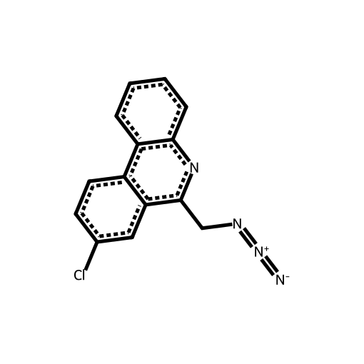 [N-]=[N+]=NCc1nc2ccccc2c2ccc(Cl)cc12